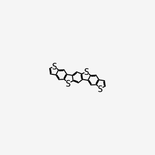 c1cc2cc3sc4cc5c(cc4c3cc2s1)sc1cc2ccsc2cc15